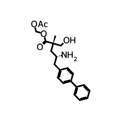 CC(=O)OCOC(=O)[C@](C)(CO)C[C@H](N)Cc1ccc(-c2ccccc2)cc1